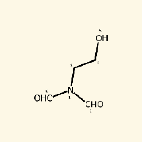 O=CN(C=O)CCO